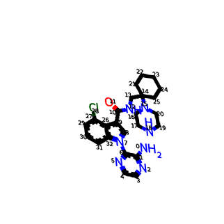 Nc1nccnc1-n1cc(C(=O)NCC2(N3CCNCC3)CCCCC2)c2c(Cl)cccc21